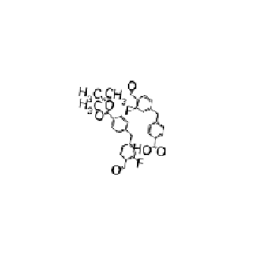 CC(C)(C)OC(=O)c1ccc(Cc2ccc(C=O)c(F)c2)cc1.O=Cc1ccc(Cc2ccc(C(=O)O)cc2)cc1F